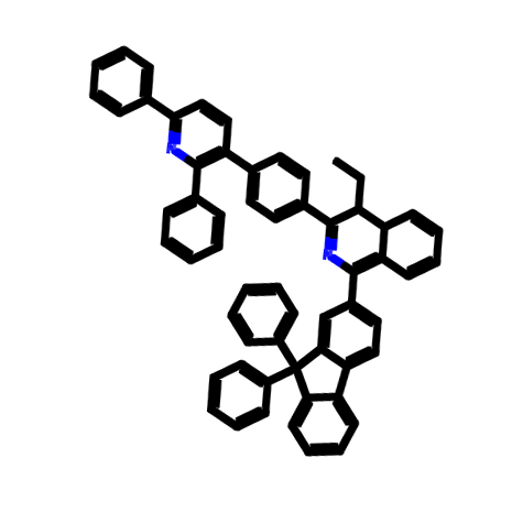 CCC1C(c2ccc(-c3ccc(-c4ccccc4)nc3-c3ccccc3)cc2)=NC(c2ccc3c(c2)C(c2ccccc2)(c2ccccc2)c2ccccc2-3)=C2C=CC=CC21